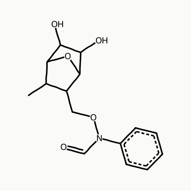 CC1C(CON(C=O)c2ccccc2)C2OC1C(O)C2O